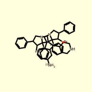 CCCC1C(c2ccccc2)CN2CC(c3ccccc3)C12N1CCC([15NH2])CC1[15N](C1CCNCC1)C12C(c3ccccc3)CN1CC(c1ccccc1)C2CCC